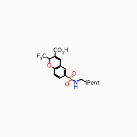 CCCC(C)CNS(=O)(=O)c1ccc2c(c1)C=C(C(=O)O)C(C(F)(F)F)O2